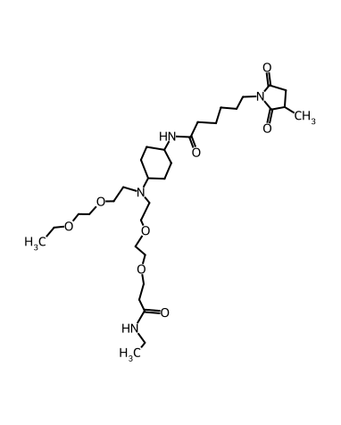 CCNC(=O)CCOCCOCCN(CCOCCOCC)C1CCC(NC(=O)CCCCCN2C(=O)CC(C)C2=O)CC1